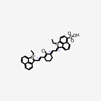 CCn1/c(=C\C=C2/CCCC(/C=C/C3=[N+](CC)c4cccc5cccc3c45)=C2Cl)c2cccc3c(S(=O)(=O)O)ccc1c32